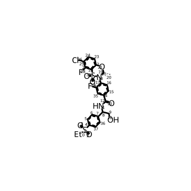 CCS(=O)(=O)c1ccc(C(CO)NC(=O)c2ccc(N3[C@@H](C)Oc4ccc(Cl)c(F)c4S3(=O)=O)c(F)c2)cc1